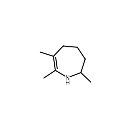 CC1=C(C)NC(C)CCC1